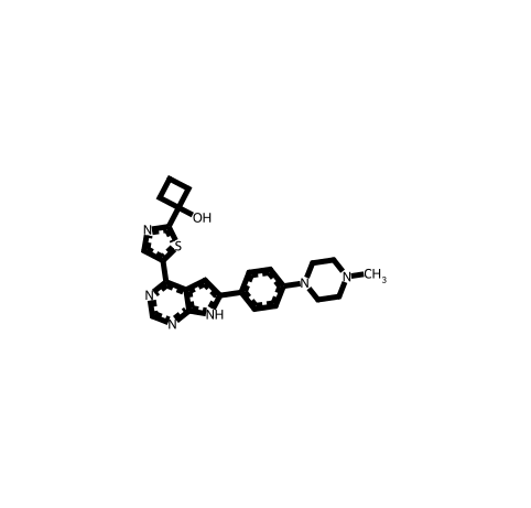 CN1CCN(c2ccc(-c3cc4c(-c5cnc(C6(O)CCC6)s5)ncnc4[nH]3)cc2)CC1